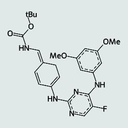 COc1cc(Nc2nc(NC3=CCC(=CNC(=O)OC(C)(C)C)C=C3)ncc2F)cc(OC)c1